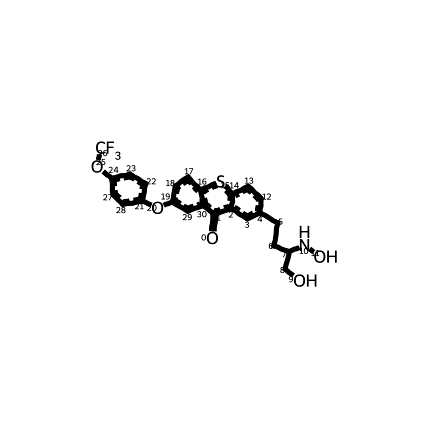 O=c1c2cc(CCC(CO)NO)ccc2sc2ccc(Oc3ccc(OC(F)(F)F)cc3)cc12